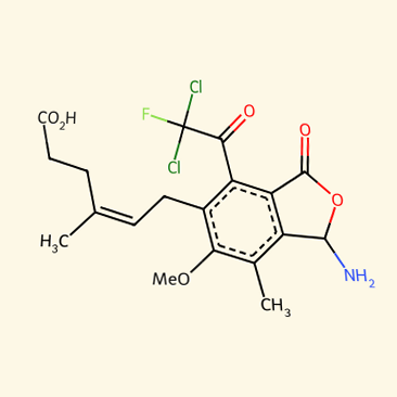 COc1c(C)c2c(c(C(=O)C(F)(Cl)Cl)c1CC=C(C)CCC(=O)O)C(=O)OC2N